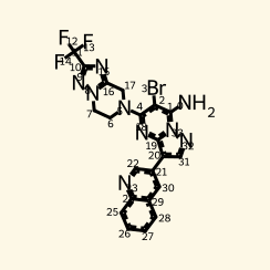 Nc1c(Br)c(N2CCn3nc(C(F)(F)F)nc3C2)nc2c(-c3cnc4ccccc4c3)cnn12